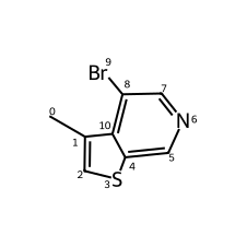 Cc1csc2cncc(Br)c12